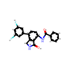 O=C(Nc1ccc(-c2cc(F)cc(F)c2)c2c1C(=O)NC2)c1ccccc1